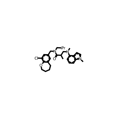 CC(C)CN(Cc1cc(Cl)c2c(c1)CCCCO2)C(=O)C(C)CN(C)c1cccc2c1ccn2C